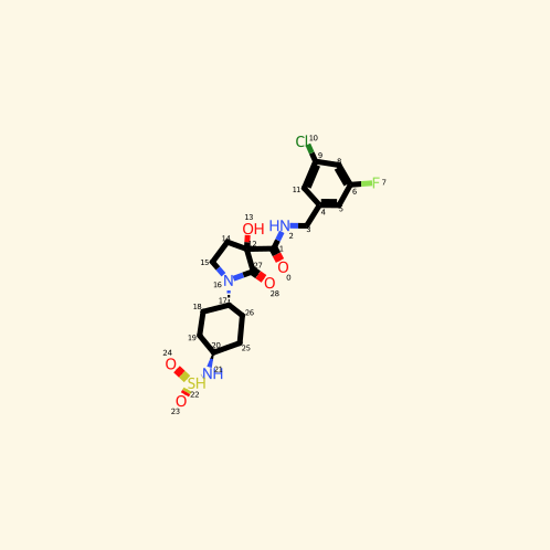 O=C(NCc1cc(F)cc(Cl)c1)C1(O)CCN([C@H]2CC[C@H](N[SH](=O)=O)CC2)C1=O